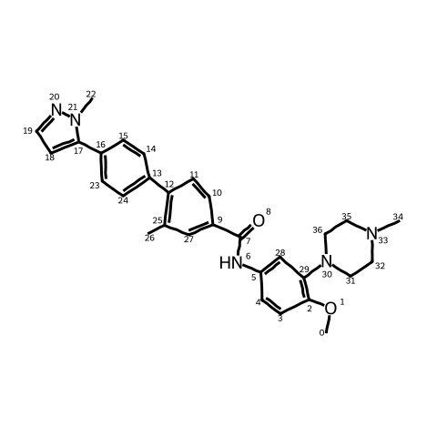 COc1ccc(NC(=O)c2ccc(-c3ccc(-c4ccnn4C)cc3)c(C)c2)cc1N1CCN(C)CC1